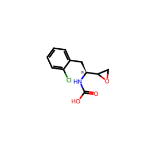 O=C(O)N[C@@H](Cc1ccccc1Cl)C1CO1